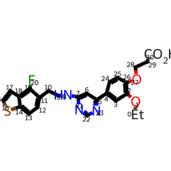 CCOc1cc(-c2cc(NCCc3ccc4sccc4c3F)ncn2)ccc1OCCC(=O)O